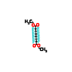 CCOC(=O)C(F)(F)C(F)(F)C(F)(F)C(F)(F)C(F)(F)C(F)(F)C(=O)OCC